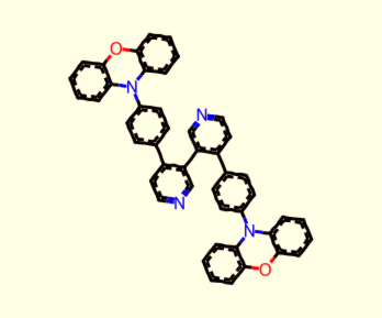 c1ccc2c(c1)Oc1ccccc1N2c1ccc(-c2ccncc2-c2cnccc2-c2ccc(N3c4ccccc4Oc4ccccc43)cc2)cc1